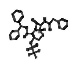 O=C(Cc1ccccc1)NC1C(=O)N2C(C(=O)OC(c3ccccc3)c3ccccc3)=C(OS(=O)(=O)C(F)(F)F)CS[C@@H]12